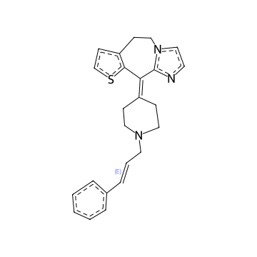 C(=C\c1ccccc1)/CN1CCC(=C2c3sccc3CCn3ccnc32)CC1